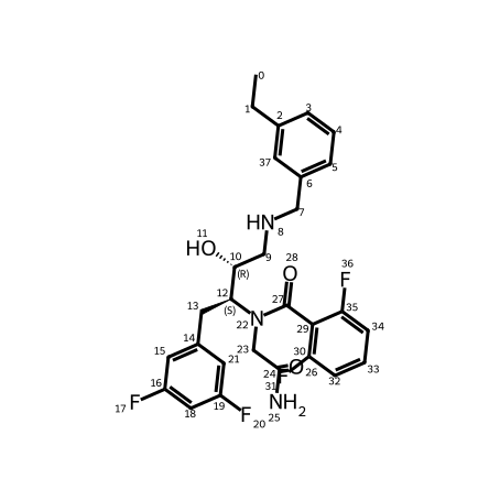 CCc1cccc(CNC[C@@H](O)[C@H](Cc2cc(F)cc(F)c2)N(CC(N)=O)C(=O)c2c(F)cccc2F)c1